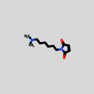 CN(C)CCCCCCN1C(=O)C=CC1=O